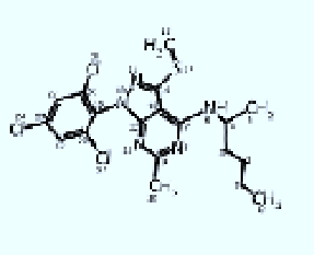 CCCCC(C)Nc1nc(C)nc2c1c(SC)nn2-c1c(Cl)cc(Cl)cc1Cl